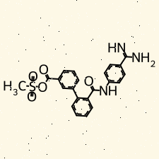 CS(=O)(=O)OC(=O)c1cccc(-c2ccccc2C(=O)Nc2ccc(C(=N)N)cc2)c1